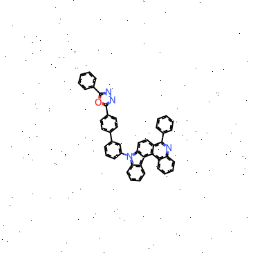 c1ccc(-c2nnc(-c3ccc(-c4cccc(-n5c6ccccc6c6c7c(ccc65)c(-c5ccccc5)nc5ccccc57)c4)cc3)o2)cc1